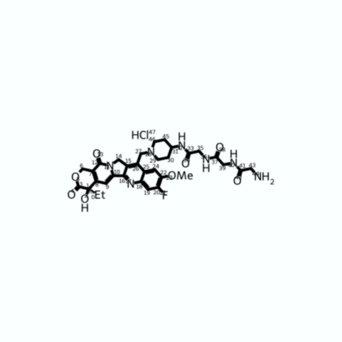 CC[C@@]1(O)C(=O)OCc2c1cc1n(c2=O)Cc2c-1nc1cc(F)c(OC)cc1c2CN1CCC(NC(=O)CNC(=O)CNC(=O)CN)CC1.Cl